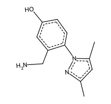 Cc1cc(C)n(-c2ccc(O)cc2CN)n1